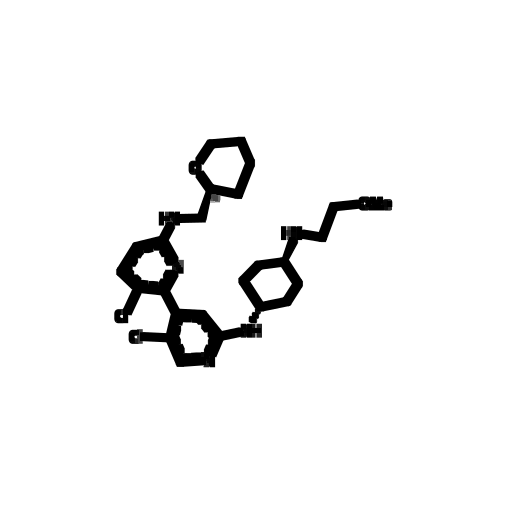 COCCN[C@H]1CC[C@H](Nc2cc(-c3nc(NC[C@@H]4CCCCO4)ccc3Cl)c(Cl)cn2)CC1